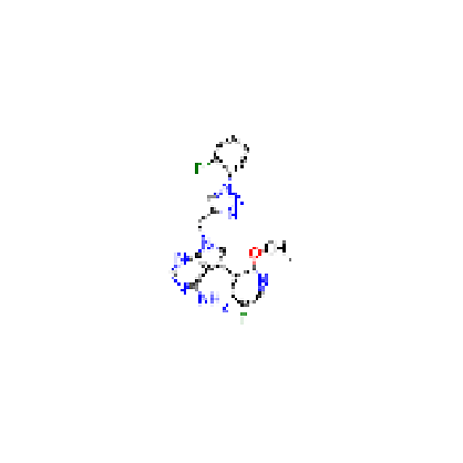 COc1ncc(F)cc1-c1cn(Cc2cn(-c3ccccc3F)nn2)c2ncnc(N)c12